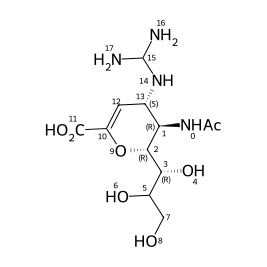 CC(=O)N[C@H]1[C@H]([C@H](O)C(O)CO)OC(C(=O)O)=C[C@@H]1NC(N)N